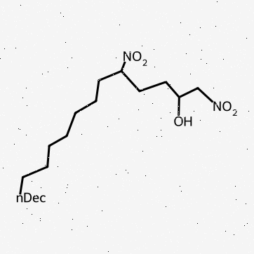 CCCCCCCCCCCCCCCCCC(CCC(O)C[N+](=O)[O-])[N+](=O)[O-]